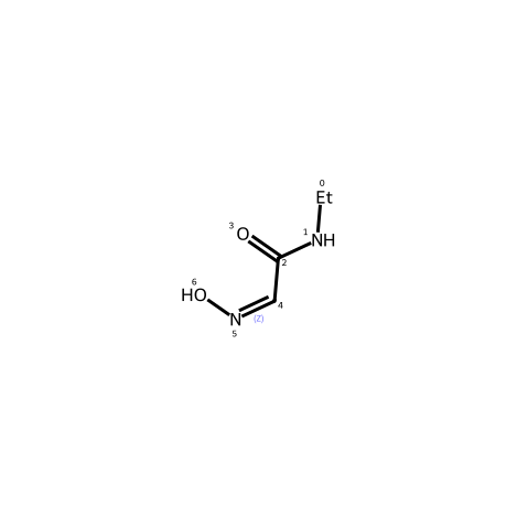 CCNC(=O)/C=N\O